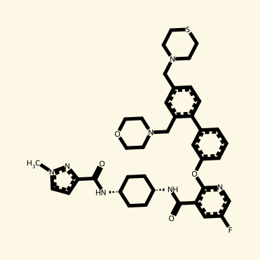 Cn1ccc(C(=O)N[C@H]2CC[C@@H](NC(=O)c3cc(F)cnc3Oc3cccc(-c4ccc(CN5CCSCC5)cc4CN4CCOCC4)c3)CC2)n1